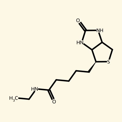 CCNC(=O)CCCC[C@@H]1SCC2NC(=O)NC21